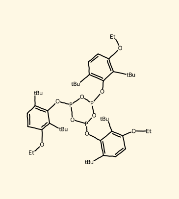 CCOc1ccc(C(C)(C)C)c(OP2OP(Oc3c(C(C)(C)C)ccc(OCC)c3C(C)(C)C)OP(Oc3c(C(C)(C)C)ccc(OCC)c3C(C)(C)C)O2)c1C(C)(C)C